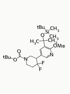 COc1ncc(C2CN(C(=O)OC(C)(C)C)CCC2(F)F)cc1C(C)(C)O[Si](C)(C)C(C)(C)C